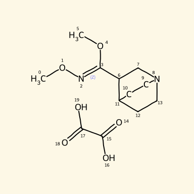 CO/N=C(\OC)C1CN2CCC1CC2.O=C(O)C(=O)O